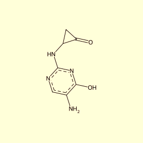 Nc1cnc(NC2CC2=O)nc1O